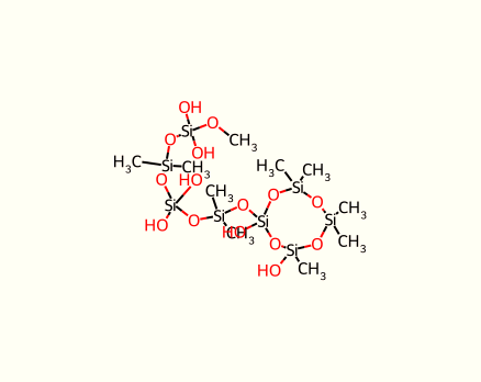 CO[Si](O)(O)O[Si](C)(C)O[Si](O)(O)O[Si](C)(C)O[Si]1(O)O[Si](C)(C)O[Si](C)(C)O[Si](C)(O)O1